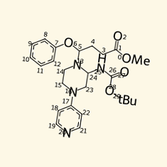 COC(=O)CCC(Oc1ccccc1)N1CCN(c2ccncc2)CC1NC(=O)OC(C)(C)C